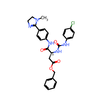 CN1CCN=C1c1ccc(NC(=O)[C@H](CC(=O)OCc2ccccc2)NC(=O)Nc2ccc(Cl)cc2)cc1